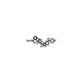 CNC(=O)c1ccccc1Nc1nc(Nc2ccc3c(c2)CN(C(=O)N2CCN(C)CC2)CC3)ncc1Br